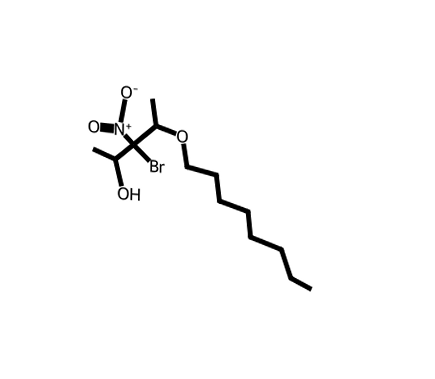 CCCCCCCCOC(C)C(Br)(C(C)O)[N+](=O)[O-]